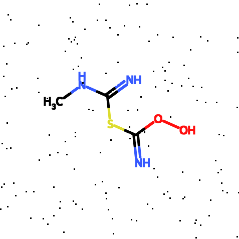 CNC(=N)SC(=N)OO